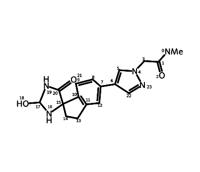 CNC(=O)Cn1cc(-c2ccc3c(c2)CCC32NC(O)NC2=O)cn1